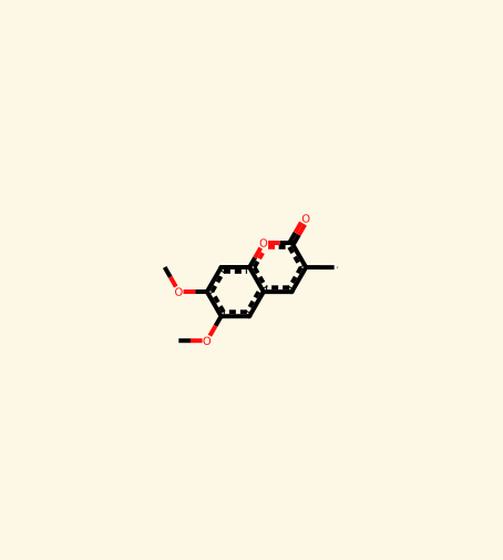 [CH2]c1cc2cc(OC)c(OC)cc2oc1=O